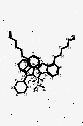 C=CCCCCc1cccc2c1C=C(C1CCCCC1)[CH]2[Zr]([Cl])([Cl])([CH]1C(C2CCCCC2)=Cc2c(CCCCC=C)cccc21)[SiH](C)C